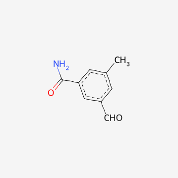 Cc1cc(C=O)cc(C(N)=O)c1